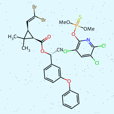 CC1(C)[C@H](C(=O)O[C@H](C#N)c2cccc(Oc3ccccc3)c2)[C@@H]1C=C(Br)Br.COP(=S)(OC)Oc1nc(Cl)c(Cl)cc1Cl